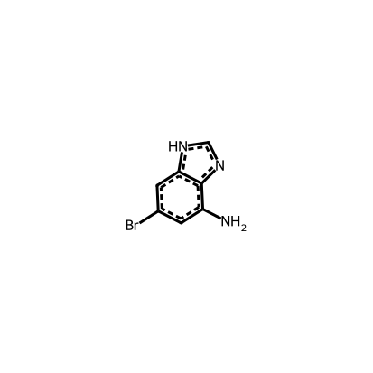 Nc1cc(Br)cc2[nH]cnc12